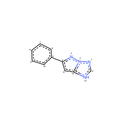 [c]1nn2nc(-c3ccccc3)cc2[nH]1